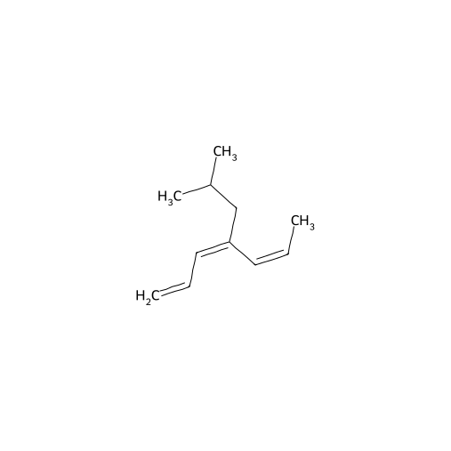 C=C/C=C(\C=C/C)CC(C)C